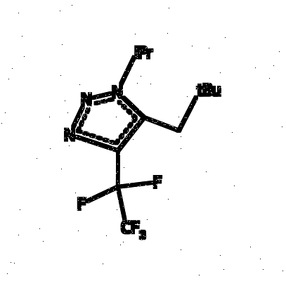 CC(C)n1nnc(C(F)(F)C(F)(F)F)c1CC(C)(C)C